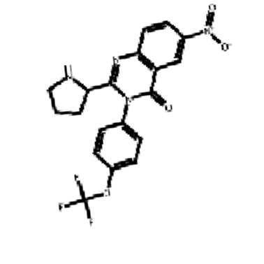 O=c1c2cc([N+](=O)[O-])ccc2nc(C2CCCN2)n1-c1ccc(OC(F)(F)F)cc1